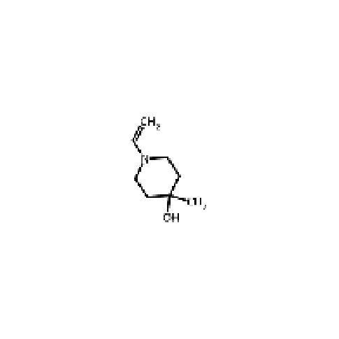 C=CN1CCC(C)(O)CC1